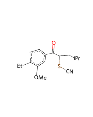 CCc1ccc(C(=O)C(CC(C)C)SC#N)cc1OC